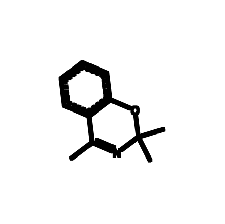 CC1=NC(C)(C)Oc2ccccc21